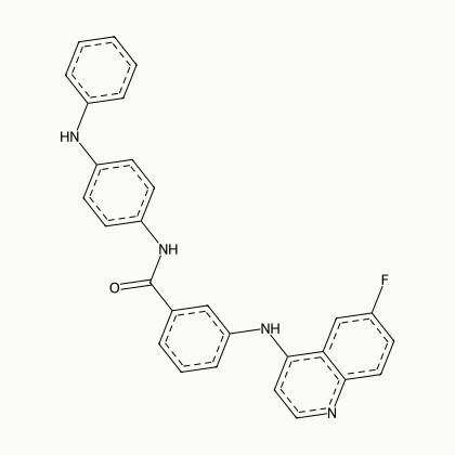 O=C(Nc1ccc(Nc2ccccc2)cc1)c1cccc(Nc2ccnc3ccc(F)cc23)c1